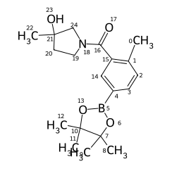 Cc1ccc(B2OC(C)(C)C(C)(C)O2)cc1C(=O)N1CCC(C)(O)C1